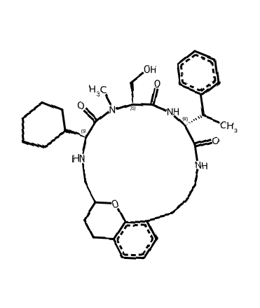 CC(c1ccccc1)[C@H]1NC(=O)[C@H](CO)N(C)C(=O)[C@H](C2CCCCC2)NCC2CCc3cccc(c3O2)CCCNC1=O